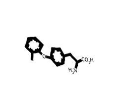 Cc1ccccc1Oc1ccc(CC(N)C(=O)O)cc1